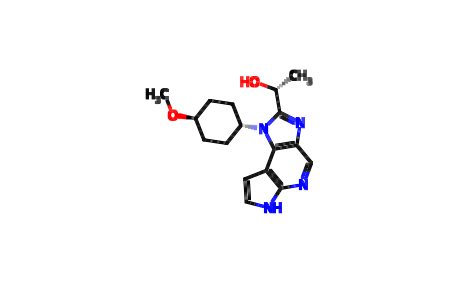 CO[C@H]1CC[C@H](n2c([C@@H](C)O)nc3cnc4[nH]ccc4c32)CC1